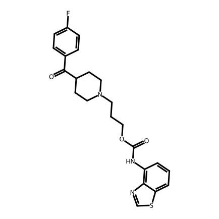 O=C(Nc1cccc2scnc12)OCCCN1CCC(C(=O)c2ccc(F)cc2)CC1